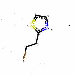 BrC[CH]c1nccs1